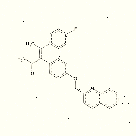 CC(=C(C(N)=O)c1ccc(OCc2ccc3ccccc3n2)cc1)c1ccc(F)cc1